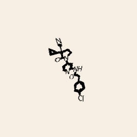 N#C[C@@]1(C2CC2)CCN(c2ccnc(NC(=O)Cc3ccc(Cl)cc3)c2)C1=O